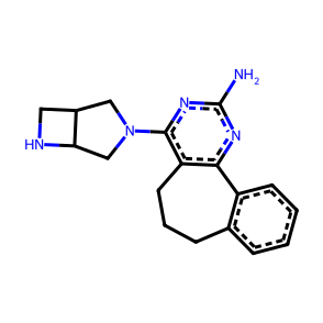 Nc1nc2c(c(N3CC4CNC4C3)n1)CCCc1ccccc1-2